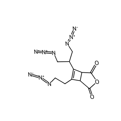 [N-]=[N+]=NCCC1=C(C(CN=[N+]=[N-])CN=[N+]=[N-])C2C(=O)OC(=O)C12